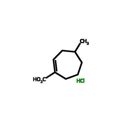 CC1CC=C(C(=O)O)CCC1.Cl